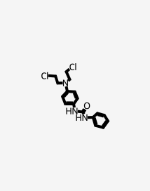 O=C(Nc1ccccc1)Nc1ccc(N(CCCl)CCCl)cc1